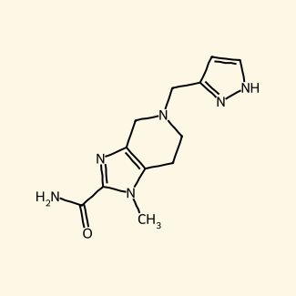 Cn1c(C(N)=O)nc2c1CCN(Cc1cc[nH]n1)C2